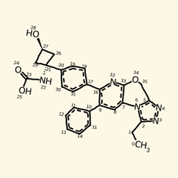 CCc1nnc2n1-c1cc(-c3ccccc3)c(-c3ccc([C@]4(NC(=O)O)C[C@H](O)C4)cc3)nc1OC2